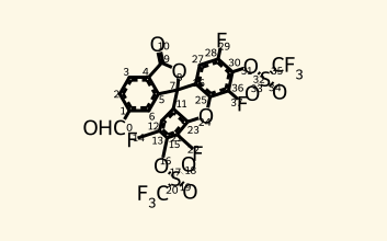 O=Cc1ccc2c(c1)C1(OC2=O)c2cc(F)c(OS(=O)(=O)C(F)(F)F)c(F)c2Oc2c1cc(F)c(OS(=O)(=O)C(F)(F)F)c2F